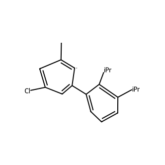 Cc1[c]c(-c2cccc(C(C)C)c2C(C)C)cc(Cl)c1